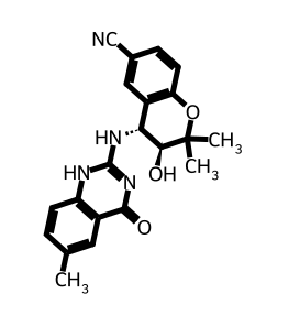 Cc1ccc2[nH]c(N[C@@H]3c4cc(C#N)ccc4OC(C)(C)[C@H]3O)nc(=O)c2c1